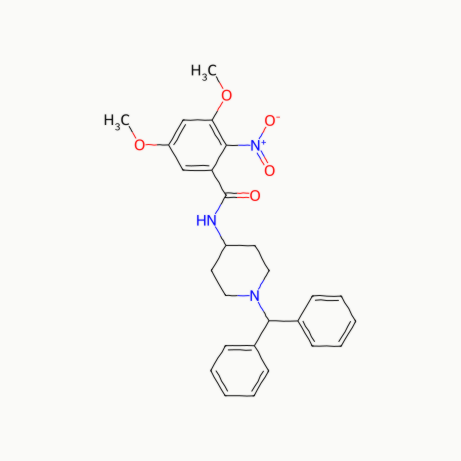 COc1cc(OC)c([N+](=O)[O-])c(C(=O)NC2CCN(C(c3ccccc3)c3ccccc3)CC2)c1